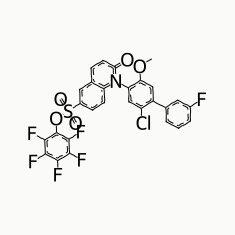 COc1cc(-c2cccc(F)c2)c(Cl)cc1-n1c(=O)ccc2cc(S(=O)(=O)Oc3c(F)c(F)c(F)c(F)c3F)ccc21